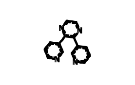 c1cncc(-c2nccnc2-c2cccnc2)c1